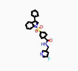 O=C(NCc1cncc(F)c1)c1ccc(S(=O)(=O)n2cc(-c3ccccc3)c3ccccc32)cc1